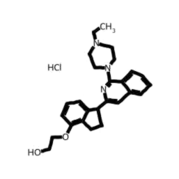 CCN1CCN(c2nc(C3CCc4c(OCCO)cccc43)cc3ccccc23)CC1.Cl